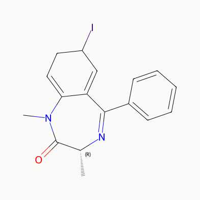 C[C@H]1N=C(c2ccccc2)C2=CC(I)CC=C2N(C)C1=O